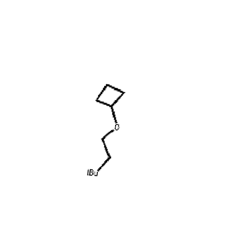 CC(C)(C)CCOC1CCC1